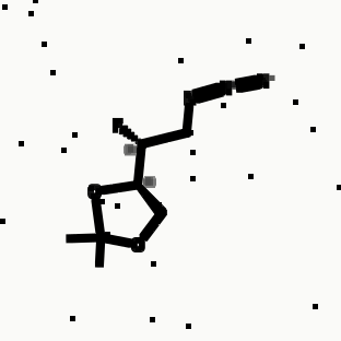 CC1(C)OC[C@H]([C@H](F)CN=[N+]=[N-])O1